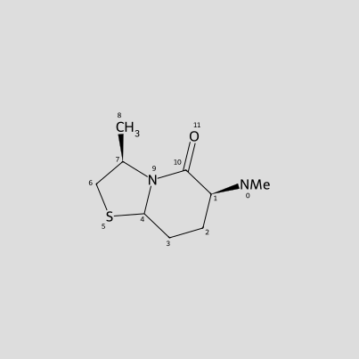 CN[C@H]1CCC2SC[C@@H](C)N2C1=O